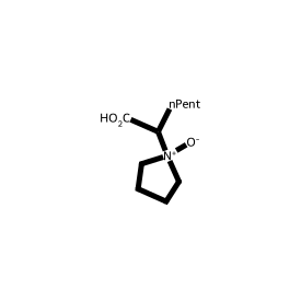 CCCCCC(C(=O)O)[N+]1([O-])CCCC1